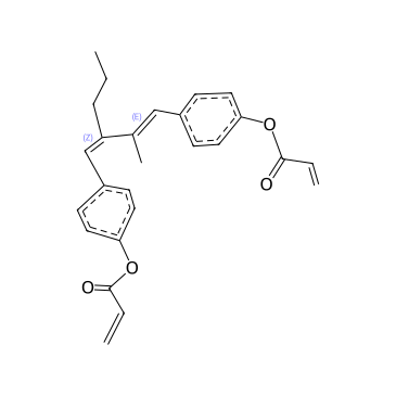 C=CC(=O)Oc1ccc(/C=C(CCC)\C(C)=C\c2ccc(OC(=O)C=C)cc2)cc1